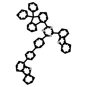 c1ccc(C2(c3ccccc3)c3ccccc3-c3c(-c4nc(-c5ccc(-c6ccc(-c7cccc8c7sc7ccccc78)cc6)cc5)nc(-c5cccc6c5sc5ccccc56)n4)cccc32)cc1